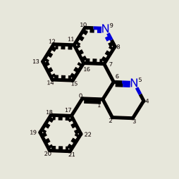 C(=C1/CCCN=C1c1cncc2ccccc12)/c1ccccc1